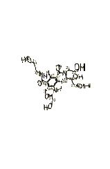 O=C(CO)Nc1c(I)c(C(=O)NCCO)c(I)c(C(=O)N(CCO)CC(O)CO)c1I